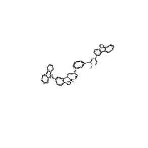 C/C=C(\C=C(/CC)c1cccc(C2=CC3c4cc(-n5c6ccccc6c6ccccc65)ccc4OC3(C)C=C2)c1)c1ccc2oc3ccccc3c2c1